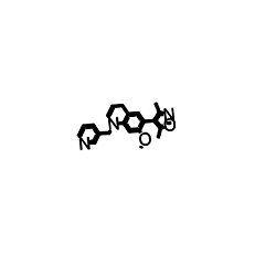 COc1cc2c(cc1-c1c(C)noc1C)CC=CN2Cc1cccnc1